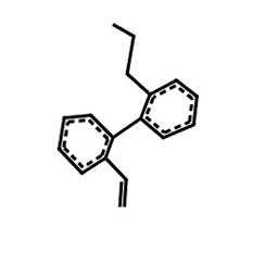 C=Cc1ccccc1-c1ccccc1CCC